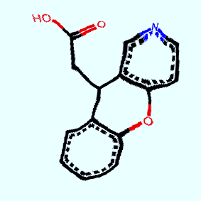 O=C(O)CC1c2ccccc2Oc2ccncc21